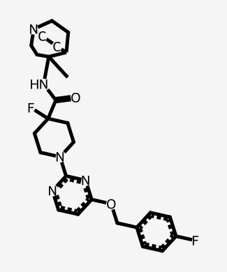 CC1(NC(=O)C2(F)CCN(c3nccc(OCc4ccc(F)cc4)n3)CC2)CCN2CCC1CC2